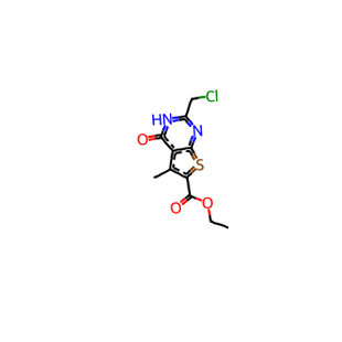 CCOC(=O)c1sc2nc(CCl)[nH]c(=O)c2c1C